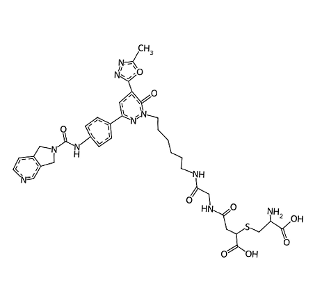 Cc1nnc(-c2cc(-c3ccc(NC(=O)N4Cc5ccncc5C4)cc3)nn(CCCCCCNC(=O)CNC(=O)CC(SCC(N)C(=O)O)C(=O)O)c2=O)o1